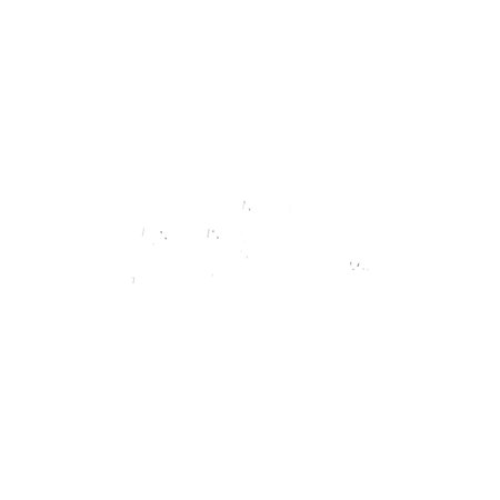 COc1csc(S(=N)(=O)NC(=O)[C@@H](N)CC(C)C)c1